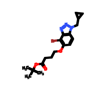 CC(C)(C)OC(=O)CCCOc1ccc2c(nnn2CC2CC2)c1Br